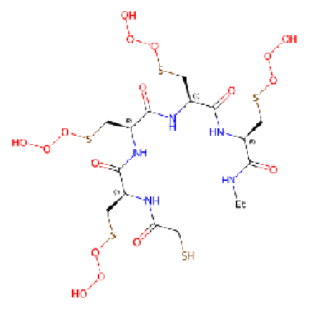 CCNC(=O)[C@H](CSOOO)NC(=O)[C@H](CSOOO)NC(=O)[C@H](CSOOO)NC(=O)[C@H](CSOOO)NC(=O)CS